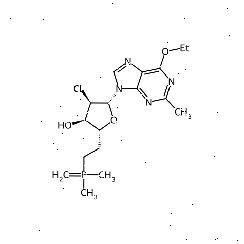 C=P(C)(C)CC[C@H]1O[C@@H](n2cnc3c(OCC)nc(C)nc32)[C@H](Cl)[C@@H]1O